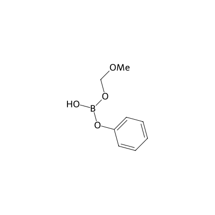 COCOB(O)Oc1ccccc1